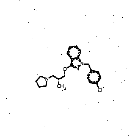 C[C@H](COc1nn(Cc2ccc(Cl)cc2)c2ccccc12)CN1CCCC1